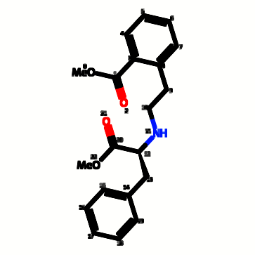 COC(=O)c1ccccc1CCN[C@@H](Cc1ccccc1)C(=O)OC